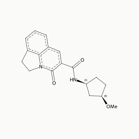 CO[C@@H]1CC[C@H](NC(=O)c2cc3cccc4c3n(c2=O)CC4)C1